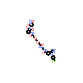 Cn1cc2c3cc(C(=O)NCCNC(=O)C=COCCOCCC(=O)Nc4cccc5c4C(=O)N(C4CCC(=O)NC4=O)C5=O)ccc3n(-c3ccc(C(F)(F)F)cc3)c2n1